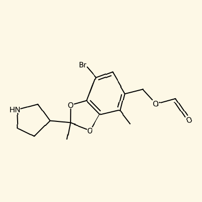 Cc1c(COC=O)cc(Br)c2c1OC(C)(C1CCNC1)O2